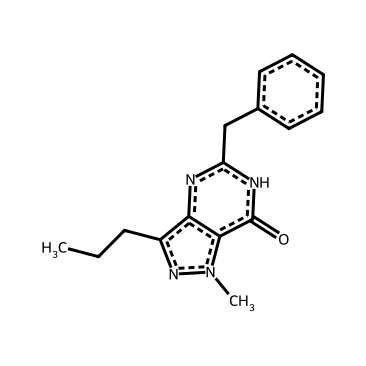 CCCc1nn(C)c2c(=O)[nH]c(Cc3ccccc3)nc12